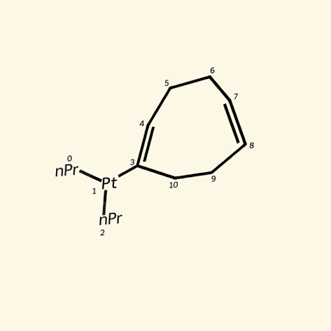 CC[CH2][Pt]([CH2]CC)[C]1=CCCC=CCC1